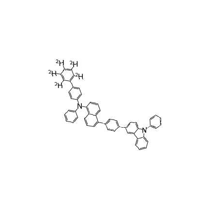 [2H]c1c([2H])c([2H])c(-c2ccc(N(c3ccccc3)c3cccc4c(-c5ccc(-c6ccc7c(c6)c6ccccc6n7-c6ccccc6)cc5)cccc34)cc2)c([2H])c1[2H]